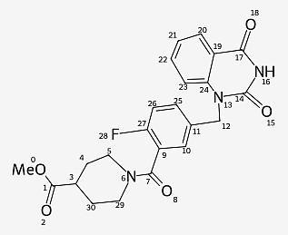 COC(=O)C1CCN(C(=O)c2cc(Cn3c(=O)[nH]c(=O)c4ccccc43)ccc2F)CC1